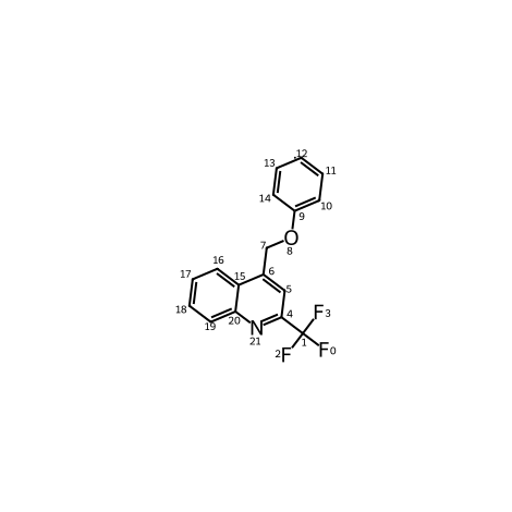 FC(F)(F)c1cc(COc2cc[c]cc2)c2ccccc2n1